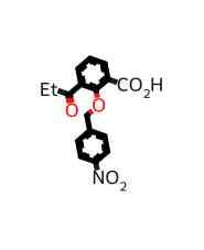 CCC(=O)c1cccc(C(=O)O)c1OCc1ccc([N+](=O)[O-])cc1